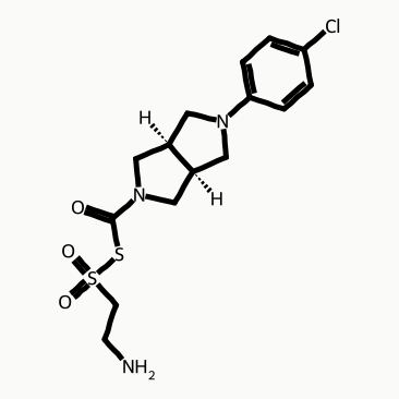 NCCS(=O)(=O)SC(=O)N1C[C@@H]2CN(c3ccc(Cl)cc3)C[C@@H]2C1